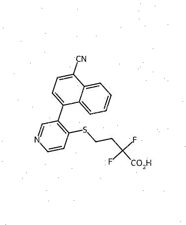 N#Cc1ccc(-c2cnccc2SCCC(F)(F)C(=O)O)c2ccccc12